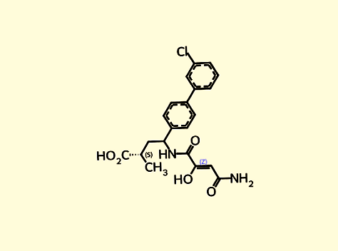 C[C@@H](CC(NC(=O)/C(O)=C/C(N)=O)c1ccc(-c2cccc(Cl)c2)cc1)C(=O)O